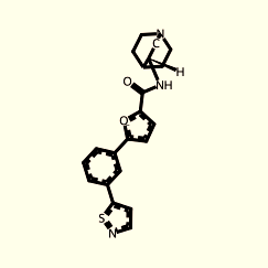 O=C(N[C@H]1CN2CCC1CC2)c1ccc(-c2cccc(-c3ccns3)c2)o1